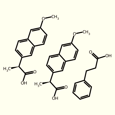 COc1ccc2cc([C@H](C)C(=O)O)ccc2c1.COc1ccc2cc([C@H](C)C(=O)O)ccc2c1.O=C(O)CCc1ccccc1